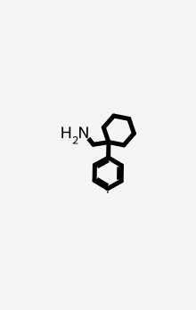 NCC1(c2cc[c]cc2)CCCCC1